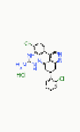 Cl.N=C(N)NN=C1CC(c2ccccc2Cl)Cc2nncc(-c3ccc(Cl)cc3)c21